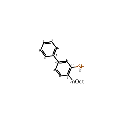 CCCCCCCCc1ccc(-c2ccccc2)cc1S